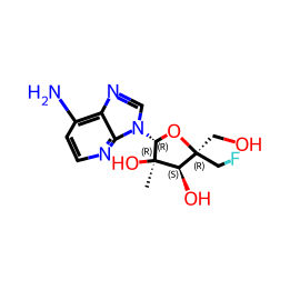 C[C@@]1(O)[C@H](O)[C@](CO)(CF)O[C@H]1n1cnc2c(N)ccnc21